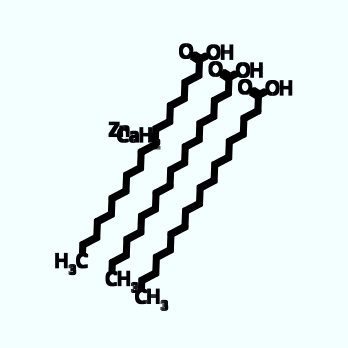 CCCCCCCCCCCCCCCCCC(=O)O.CCCCCCCCCCCCCCCCCC(=O)O.CCCCCCCCCCCCCCCCCC(=O)O.[CaH2].[Zn]